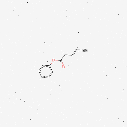 CCCC/C=C/CC(=O)Oc1ccccc1